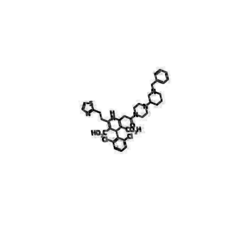 O=C(O)C1=C(CCc2nccs2)NC(CC(=O)N2CCN(C3CCCN(Cc4ccccc4)C3)CC2)=C(C(=O)O)C1c1c(Cl)cccc1Cl